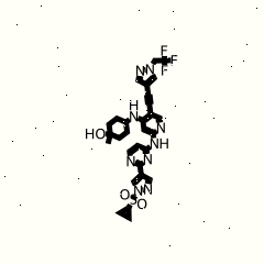 CC1(O)CCC(Nc2cc(Nc3ccnc(-c4cnn(S(=O)(=O)C5CC5)c4)n3)ncc2C#Cc2cnn(CC(F)(F)F)c2)CC1